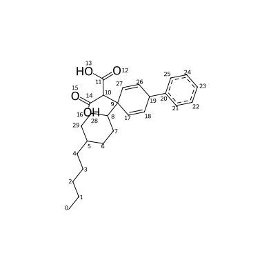 CCCCCC1CCC(C2(C(C(=O)O)C(=O)O)C=CC(c3ccccc3)C=C2)CC1